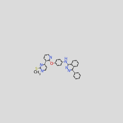 CSc1nccc(-c2cccnc2Oc2ccc(Nc3nnc(-c4ccccc4)c4ccccc34)cc2)n1